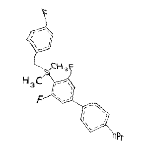 CCCc1ccc(-c2cc(F)c([Si](C)(C)Cc3ccc(F)cc3)c(F)c2)cc1